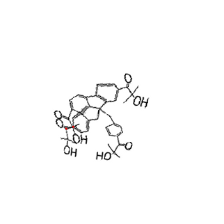 CC(C)(O)C(=O)c1ccc(CC2(Cc3ccc(C(=O)C(C)(C)O)cc3)c3cc(C(=O)C(C)(C)O)ccc3-c3ccc(C(=O)C(C)(C)O)cc32)cc1